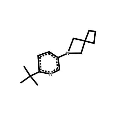 CC(C)(C)c1ccc(N2CC3(CCC3)C2)cn1